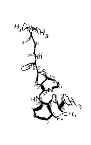 CC(C)Oc1c(F)cccc1Nc1ncnc2sc(C(=O)NCCCN(C)C)nc12